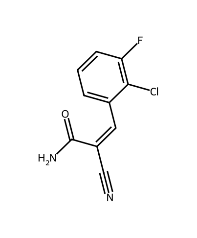 N#C/C(=C/c1cccc(F)c1Cl)C(N)=O